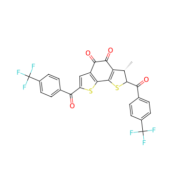 C[C@H]1C2=C(SC1C(=O)c1ccc(C(F)(F)F)cc1)c1sc(C(=O)c3ccc(C(F)(F)F)cc3)cc1C(=O)C2=O